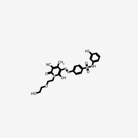 Cc1c(/N=N/c2ccc(S(=O)(=O)Nc3cccc(S)c3)cc2)c(O)n(CCOCCO)c(=O)c1C#N